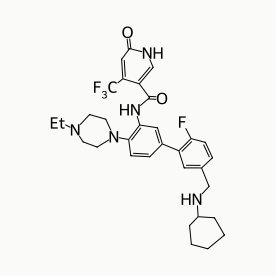 CCN1CCN(c2ccc(-c3cc(CNC4CCCCC4)ccc3F)cc2NC(=O)c2c[nH]c(=O)cc2C(F)(F)F)CC1